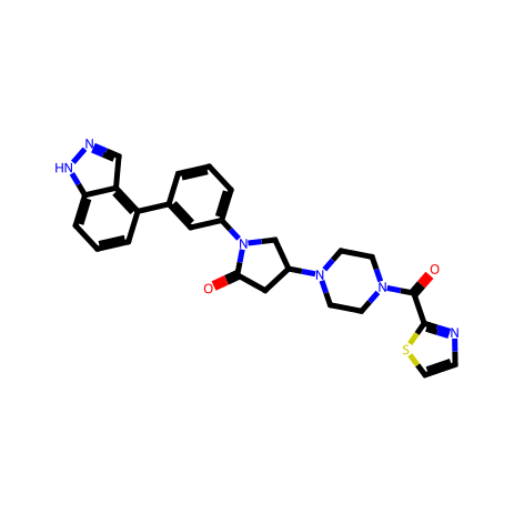 O=C(c1nccs1)N1CCN(C2CC(=O)N(c3cccc(-c4cccc5[nH]ncc45)c3)C2)CC1